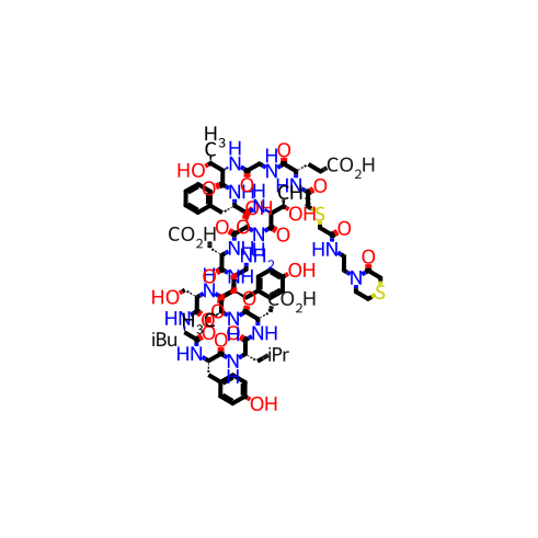 CC[C@H](C)[C@H](NC(=O)[C@H](CO)NC(=O)[C@H](Cc1ccc(O)cc1)NC(=O)[C@H](CC(=O)O)NC(=O)[C@H](CO)NC(=O)[C@@H](NC(=O)[C@H](Cc1ccccc1)NC(=O)[C@@H](NC(=O)CNC(=O)[C@H](CCC(=O)O)NC(=O)CSCC(=O)NCCN1CCSCC1=O)[C@@H](C)O)[C@@H](C)O)C(=O)N[C@@H](Cc1ccc(O)cc1)C(=O)N[C@@H](CC(C)C)C(=O)N[C@@H](CC(=O)O)C(=O)N[C@H](C)CCCCN